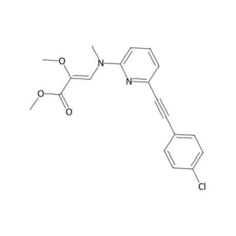 COC(=O)C(=CN(C)c1cccc(C#Cc2ccc(Cl)cc2)n1)OC